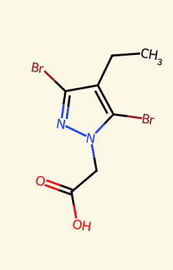 CCc1c(Br)nn(CC(=O)O)c1Br